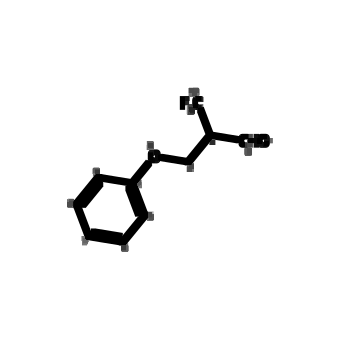 O=[C]C(COc1ccccc1)C(F)(F)F